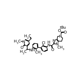 C=Cc1cc(C(=C)Nc2cccc(-c3cccc(NC(=O)c4nc5c(n4C)CCN(C(=O)OC(C)(C)C)C5)c3Cl)c2C)c(=O)n(C)c1